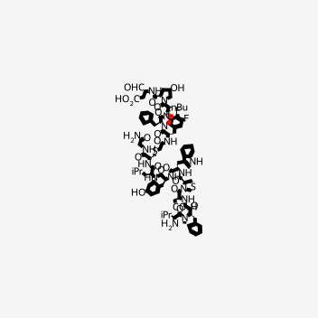 CCCC[C@@H](C(=O)N1C[C@H](O)C[C@@H]1C(=O)N[C@H](C=O)CC(=O)O)N(C)C(=O)[C@H](Cc1ccccc1)N(C)C(=O)[C@H](Cc1cc(F)c(F)c(F)c1)NC(=O)CSC[C@H](NC(=O)[C@H](CC(C)C)NC(=O)[C@H](Cc1ccc(O)cc1)NC(=O)[C@H](Cc1c[nH]c2ccccc12)NC(=O)[C@H]1CSCN1C(=O)[C@H](CC(=O)O)NCC(=O)[C@H](Cc1ccccc1)N(C)C(=O)[C@@H](N)C(C)C)C(=O)NCC(N)=O